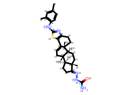 Cc1ccc(Nc2nc3c(s2)C2=CC[C@@H]4[C@H](CC[C@]5(C)/C(=N/NC(N)=O)CC[C@@H]45)[C@@]2(C)CC3)c(C)c1